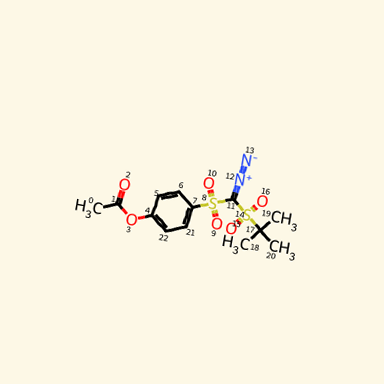 CC(=O)Oc1ccc(S(=O)(=O)C(=[N+]=[N-])S(=O)(=O)C(C)(C)C)cc1